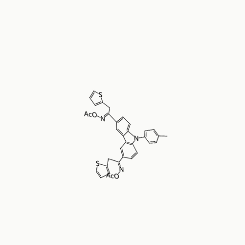 CC(=O)ON=C(Cc1cccs1)c1ccc2c(c1)c1cc(C(Cc3cccs3)=NOC(C)=O)ccc1n2-c1ccc(C)cc1